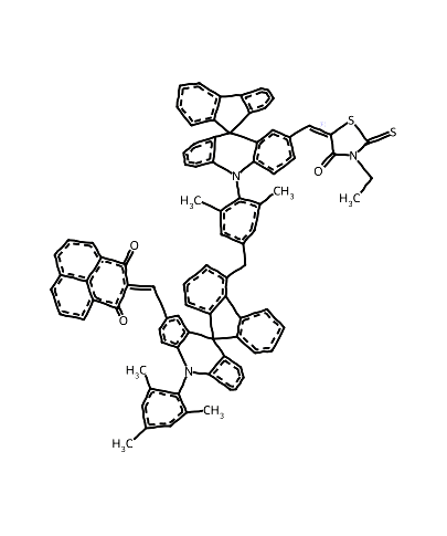 CCN1C(=O)/C(=C\c2ccc3c(c2)C2(c4ccccc4-c4ccccc42)c2ccccc2N3c2c(C)cc(Cc3cccc4c3-c3ccccc3C43c4ccccc4N(c4c(C)cc(C)cc4C)c4ccc(C=c5c(=O)c6cccc7cccc(c5=O)c76)cc43)cc2C)SC1=S